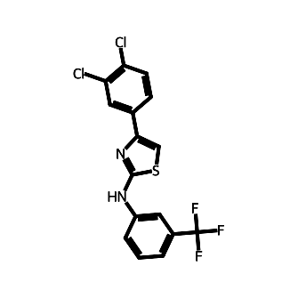 FC(F)(F)c1cccc(Nc2nc(-c3ccc(Cl)c(Cl)c3)cs2)c1